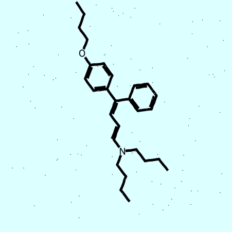 CCCCOc1ccc(C(=CC=CN(CCCC)CCCC)c2ccccc2)cc1